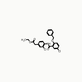 CCOC(=O)Cc1ccc(NC(=O)c2cc(Cl)ccc2OCc2ccccc2)c(Cl)c1